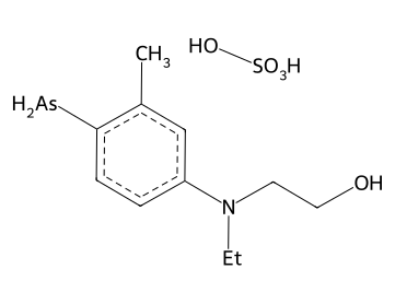 CCN(CCO)c1ccc([AsH2])c(C)c1.O=S(=O)(O)O